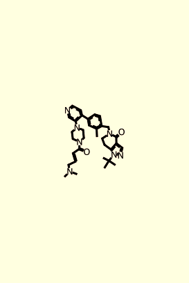 Cc1cc(-c2ccncc2N2CCN(C(=O)C=CCN(C)C)CC2)ccc1CN1CCc2c(cnn2C(C)(C)C)C1=O